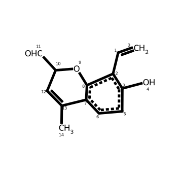 C=Cc1c(O)ccc2c1OC(C=O)C=C2C